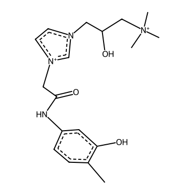 Cc1ccc(NC(=O)C[n+]2ccn(CC(O)C[N+](C)(C)C)c2)cc1O